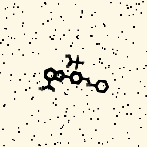 NC(=O)c1cccc2cn(-c3ccc(CNC4CCCCC4)cc3)nc12.O=C(O)C(F)(F)F